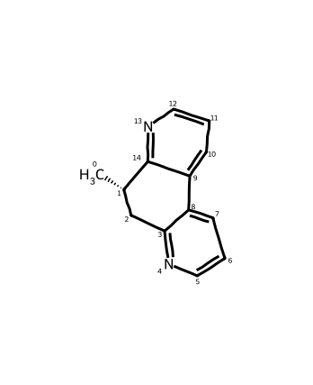 C[C@H]1Cc2ncccc2-c2cccnc21